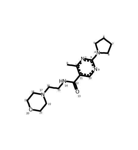 Cc1nc(N2CCCC2)ncc1C(=O)NCCN1CCOCC1